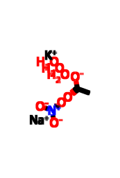 CC(=O)[O-].O.O.O.O=[N+]([O-])[O-].[K+].[Na+]